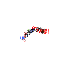 CC(=O)NC[C@H]1CN(c2ccc(N3CCN(C(=O)COC(=O)Oc4ccc(CC(O)(P(O)O)P(=O)(O)O)cc4)CC3)c(F)c2)C(=O)O1